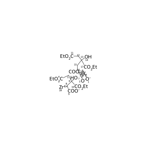 CCC[O-].CCC[O-].CCOC(=O)CC(O)(CC(=O)[O-])C(=O)OCC.CCOC(=O)CC(O)(CC(=O)[O-])C(=O)OCC.[Zr+4]